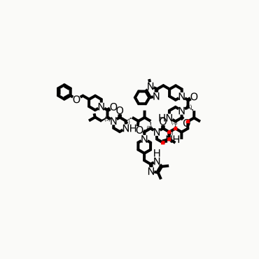 Cc1nc(CC2CCN(C(=O)[C@H](CC(C)C(C)C[C@@H]3NCCN([C@@H](CC(C)C)C(=O)N4CCC(COc5ccccc5)CC4)C3=O)N3CCN[C@@H](CC(C)CCC(C)C[C@@H](C(=O)N4CCC(Cc5nc6c(n5C)CCCC6)CC4)N4CCN[C@@H](CCC(C)C)C4=O)C3=O)CC2)[nH]c1C